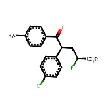 CCOC(=O)[C@@H](F)CC(C(=O)c1ccc(C)cc1)c1ccc(Cl)cc1